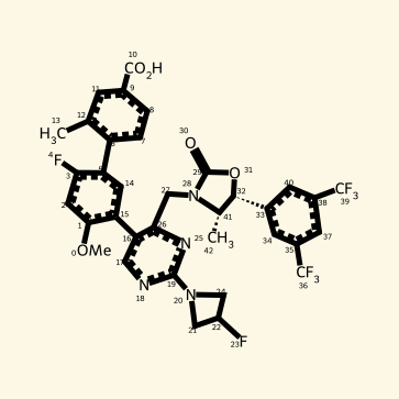 COc1cc(F)c(-c2ccc(C(=O)O)cc2C)cc1-c1cnc(N2CC(F)C2)nc1CN1C(=O)O[C@H](c2cc(C(F)(F)F)cc(C(F)(F)F)c2)[C@@H]1C